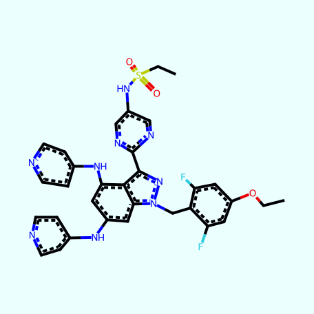 CCOc1cc(F)c(Cn2nc(-c3ncc(NS(=O)(=O)CC)cn3)c3c(Nc4ccncc4)cc(Nc4ccncc4)cc32)c(F)c1